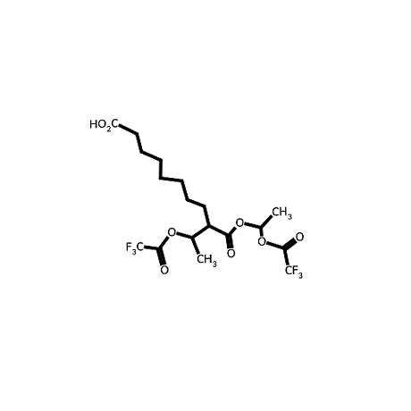 CC(OC(=O)C(CCCCCCCC(=O)O)C(C)OC(=O)C(F)(F)F)OC(=O)C(F)(F)F